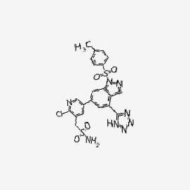 Cc1ccc(S(=O)(=O)n2ncc3c(-c4nnn[nH]4)cc(-c4cnc(Cl)c(CS(N)(=O)=O)c4)cc32)cc1